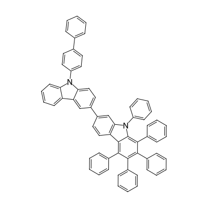 c1ccc(-c2ccc(-n3c4ccccc4c4cc(-c5ccc6c7c(-c8ccccc8)c(-c8ccccc8)c(-c8ccccc8)c(-c8ccccc8)c7n(-c7ccccc7)c6c5)ccc43)cc2)cc1